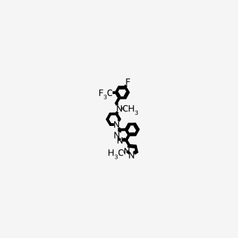 CN(Cc1ccc(F)cc1C(F)(F)F)C1CCCN(c2nnc(-c3ccnn3C)c3ccccc23)C1